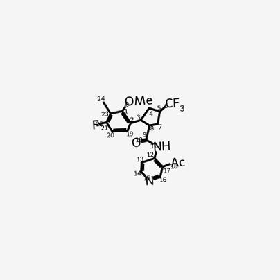 COc1c(C2CC(C(F)(F)F)CC2C(=O)Nc2ccncc2C(C)=O)ccc(F)c1C